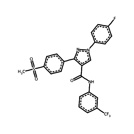 CS(=O)(=O)c1ccc(-c2nn(-c3ccc(F)cc3)cc2C(=O)Nc2cccc(C(F)(F)F)c2)cc1